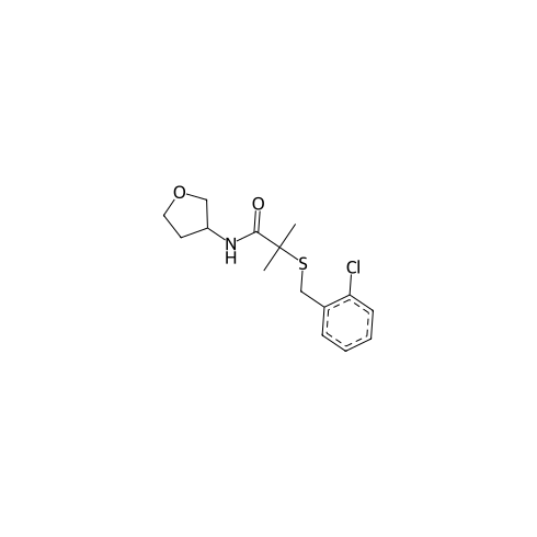 CC(C)(SCc1ccccc1Cl)C(=O)NC1CCOC1